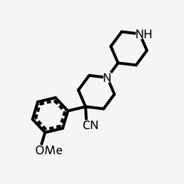 COc1cccc(C2(C#N)CCN(C3CCNCC3)CC2)c1